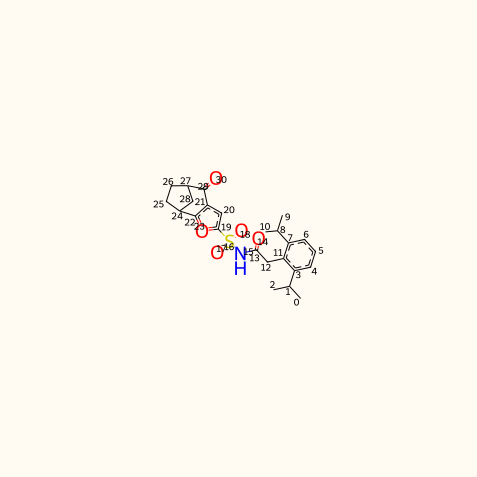 CC(C)c1cccc(C(C)C)c1CC(=O)NS(=O)(=O)c1cc2c(o1)C1CCC(C1)C2=O